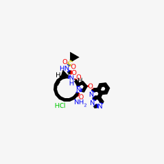 Cl.N[C@H]1CCCCCC=C[C@@H]2C[C@@]2(C(=O)NS(=O)(=O)C2CC2)NC(=O)[C@@H]2C[C@@H](Oc3nc4ncncc4c4ccccc34)CN2C1=O